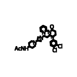 CC(=O)NC1CCN(C2CN(CCC3[C@H](c4ccc(Cl)c(Cl)c4)CCC(=O)N3c3ccccn3)C2)CC1